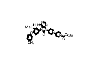 COc1cc(-n2c(=O)n(C3CCN(C4CCN(C(=O)OC(C)(C)C)CC4)CC3)c3ncnc(N)c32)ccc1Oc1ccc(C)cc1